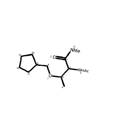 CNC(=O)C(NC(C)=O)C(C)OCC1CCCC1